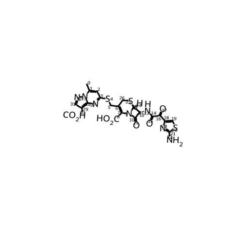 Cc1cc(SCC2=C(C(=O)O)N3C(=O)[C@@H](NC(=O)C(=O)c4csc(N)n4)[C@H]3SC2)nc2c(C(=O)O)cnn12